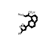 COC=C(C(=O)O)c1cccc2ccc(-c3cc(C(C)C)no3)cc12